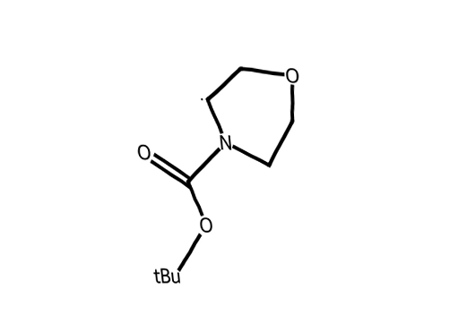 CC(C)(C)OC(=O)N1[CH]COCC1